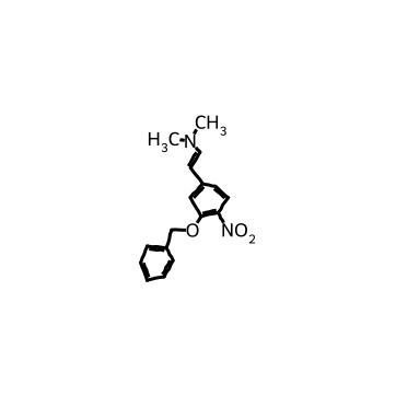 CN(C)C=Cc1ccc([N+](=O)[O-])c(OCc2ccccc2)c1